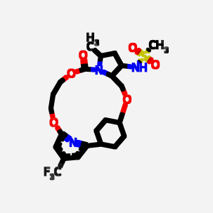 CC1CC(NS(C)(=O)=O)C2COC3CCC(CC3)c3cc(C(F)(F)F)cc(n3)OCCCOC(=O)N12